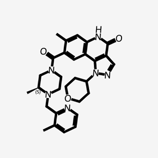 Cc1cc2[nH]c(=O)c3cnn(C4CCOCC4)c3c2cc1C(=O)N1CCN(Cc2ncccc2C)[C@@H](C)C1